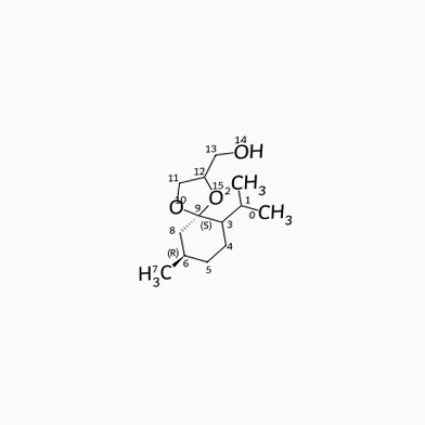 CC(C)C1CC[C@@H](C)C[C@@]12OCC(CO)O2